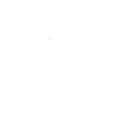 CNc1ccc(CC(C)C)c(CC(C)C)c1